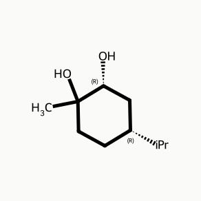 CC(C)[C@@H]1CCC(C)(O)[C@H](O)C1